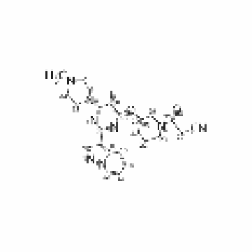 CN1CCN(c2nc(-c3cnn4ccccc34)nc(O[C@@H]3CCCN(C(=O)CC#N)C3)c2F)CC1